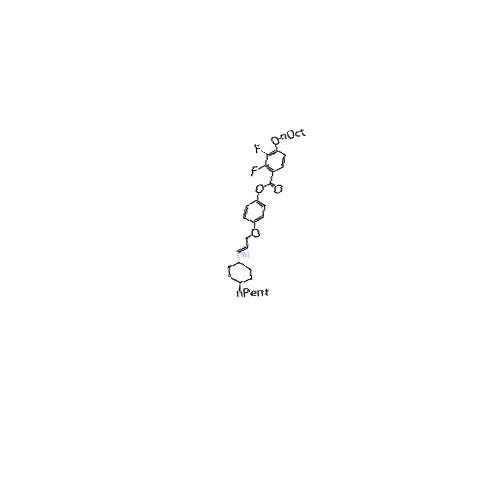 CCCCCCCCOc1ccc(C(=O)Oc2ccc(OC/C=C/[C@H]3CC[C@H](CCCCC)CC3)cc2)c(F)c1F